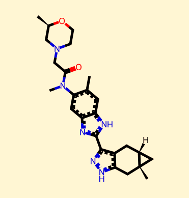 Cc1cc2[nH]c(-c3n[nH]c4c3C[C@@H]3C[C@]3(C)C4)nc2cc1N(C)C(=O)CN1CCO[C@H](C)C1